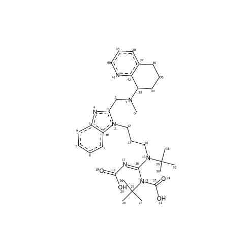 CN(Cc1nc2ccccc2n1CCCN(C(=NC(=O)O)N(C(=O)O)C(C)(C)C)C(C)(C)C)C1CCCc2cccnc21